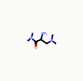 CN(C)CC(N)C(=O)N(C)C